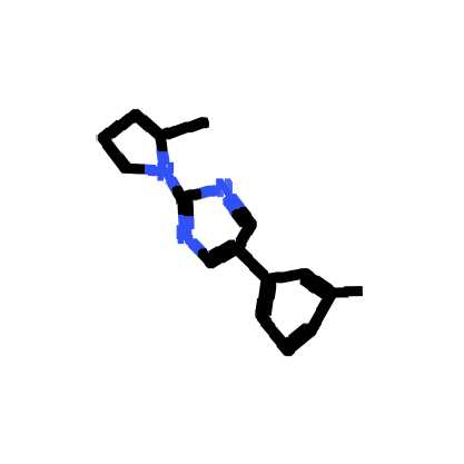 Cc1cccc(-c2cnc(N3CCCC3C)nc2)c1